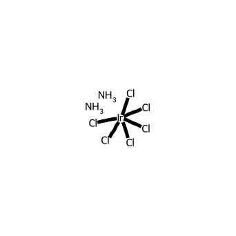 N.N.[Cl][Ir]([Cl])([Cl])([Cl])([Cl])[Cl]